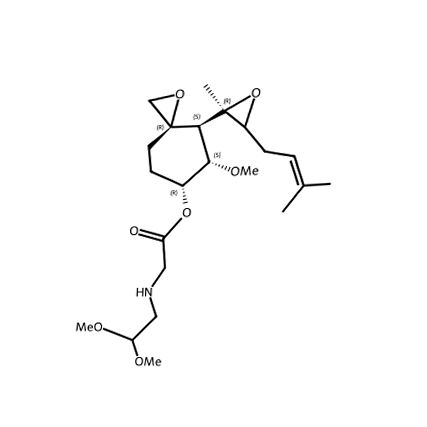 COC(CNCC(=O)O[C@@H]1CC[C@]2(CO2)[C@@H]([C@@]2(C)OC2CC=C(C)C)[C@@H]1OC)OC